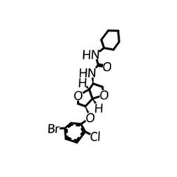 O=C(NC1CCCCC1)N[C@H]1CO[C@H]2[C@@H]1OC[C@@H]2Oc1cc(Br)ccc1Cl